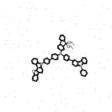 CC1(C)c2ccccc2-c2ccc(N(c3ccc(-c4ccc(-n5c6ccccc6c6c7oc8ccccc8c7ccc65)cc4)cc3)c3ccc(-c4ccc5c(c4)c4ccccc4n5-c4ccccc4)cc3)cc21